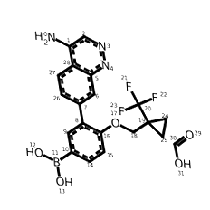 Nc1cnnc2cc(-c3cc(B(O)O)ccc3OCC3(C(F)(F)F)CC3)ccc12.O=CO